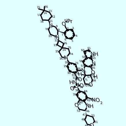 CC(C)Oc1ccccc1[C@@H]1CN(C2CCC(C)(C)CC2)CCN1C1CC2(CCN(c3ccc(C(=O)NS(=O)(=O)c4cc5c(c([N+](=O)[O-])c4)N[C@H](C4CCOCC4)CO5)c(N4c5cc6cc[nH]c6nc5O[C@H]5COCC[C@@H]54)c3)CC2)C1